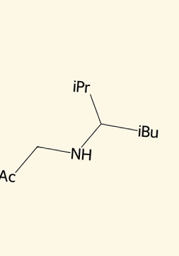 CCC(C)C(NCC(C)=O)C(C)C